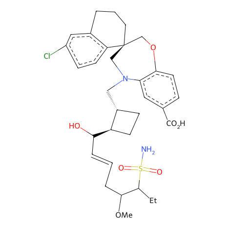 CCC(C(C/C=C/C(O)[C@@H]1CC[C@H]1CN1C[C@@]2(CCCc3cc(Cl)ccc32)COc2ccc(C(=O)O)cc21)OC)S(N)(=O)=O